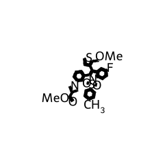 COCc1sccc1-c1c(-c2cccc(N3CC(C(=O)OC)C3)c2)n(S(=O)(=O)c2ccc(C)cc2)c2ccc(F)cc12